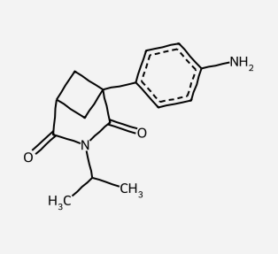 CC(C)N1C(=O)C2CC(c3ccc(N)cc3)(C2)C1=O